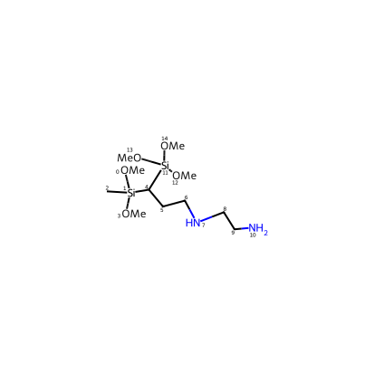 CO[Si](C)(OC)C(CCNCCN)[Si](OC)(OC)OC